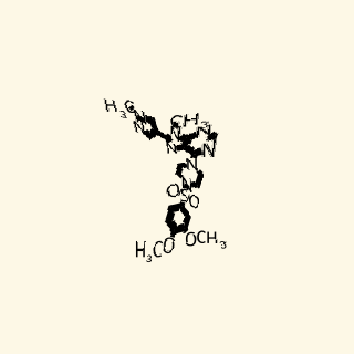 COc1ccc(S(=O)(=O)N2CCN(c3ncnc4c3nc(-c3cnn(C)c3)n4C)CC2)cc1OC